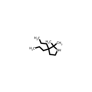 CCCC1(CCC)CCNC1(C)C